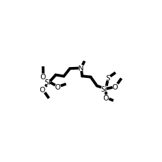 CO[Si](CCCN(C)CCC[Si](OC)(OC)SC)(OC)OC